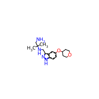 CC(C)(CN)NCc1n[nH]c2ccc(OC3CCOCC3)cc12